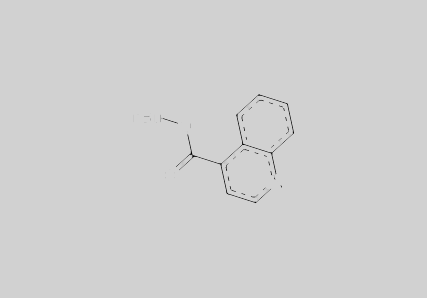 CCCCOC(=O)c1ccnc2ccccc12